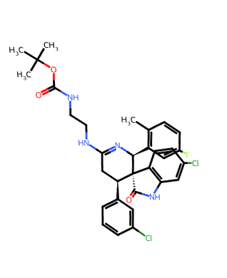 Cc1ccc(F)cc1[C@@H]1N=C(NCCNC(=O)OC(C)(C)C)C[C@H](c2cccc(Cl)c2)[C@@]12C(=O)Nc1cc(Cl)ccc12